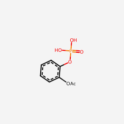 CC(=O)Oc1ccccc1OP(=O)(O)O